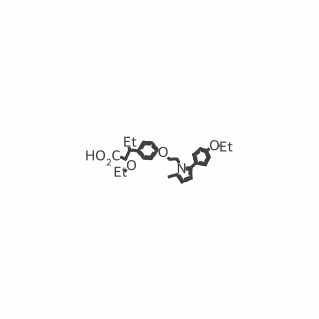 CCOc1ccc(-c2ccc(C)n2CCOc2ccc(C(CC)C(OCC)C(=O)O)cc2)cc1